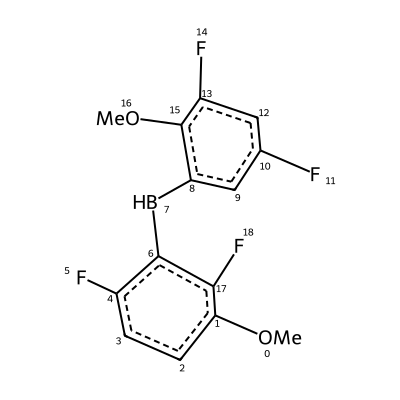 COc1ccc(F)c(Bc2cc(F)cc(F)c2OC)c1F